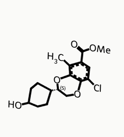 COC(=O)c1cc(Cl)c2c(c1C)O[C@@H](C1CCC(O)CC1)CO2